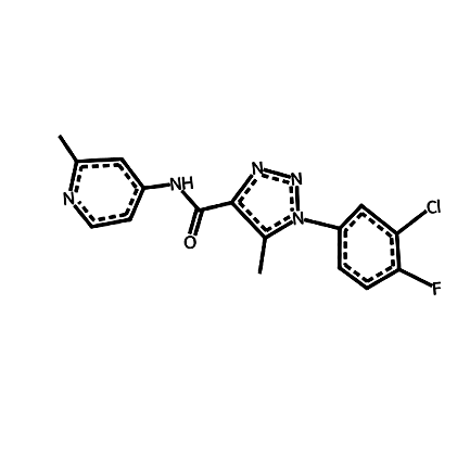 Cc1cc(NC(=O)c2nnn(-c3ccc(F)c(Cl)c3)c2C)ccn1